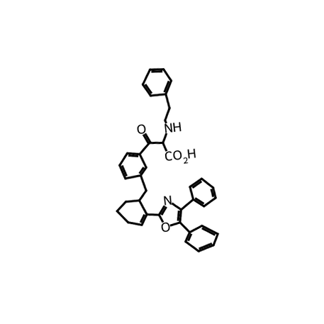 O=C(O)C(NCCc1ccccc1)C(=O)c1cccc(CC2CCCC=C2c2nc(-c3ccccc3)c(-c3ccccc3)o2)c1